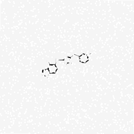 Fc1cccc(Cc2nnc(Nc3ccc4[nH]ncc4c3Br)o2)c1